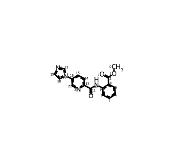 COC(=O)c1ccccc1NC(=O)c1ccc(-n2ccnc2)cn1